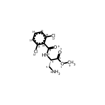 COC(=O)[C@H](CN)NC(=O)c1c(Cl)cccc1Cl